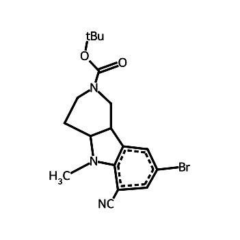 CN1c2c(C#N)cc(Br)cc2C2CN(C(=O)OC(C)(C)C)CCC21